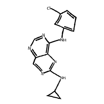 Clc1cccc(Nc2ncnc3cnc(NC4CC4)nc23)c1